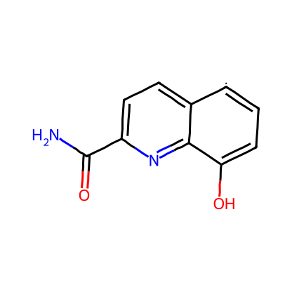 NC(=O)c1ccc2[c]ccc(O)c2n1